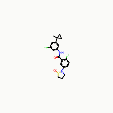 CC1(c2cc(Cl)cc(NC(=O)c3cc(N4CCC[S+]4[O-])ccc3Cl)c2)CC1